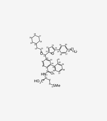 CSCC[C@H](NC(=O)c1ccc(C(OCCC2CCCCC2)c2ccc(-c3ccc(Cl)cc3)o2)cc1-c1ccccc1C)C(=O)O.[Li]